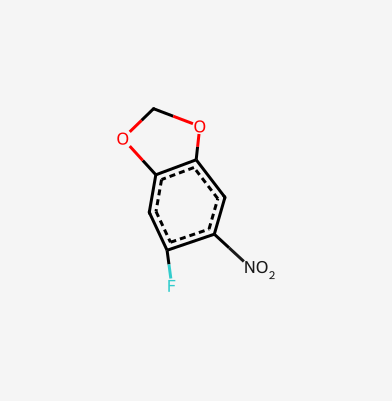 O=[N+]([O-])c1cc2c(cc1F)OCO2